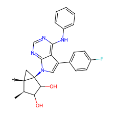 C[C@@H]1C(O)C(O)[C@@]2(n3cc(-c4ccc(F)cc4)c4c(Nc5ccccc5)ncnc43)C[C@@H]12